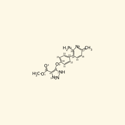 COC(=O)c1nn[nH]c1Oc1ccc(-c2ccc(C)nc2P)cc1